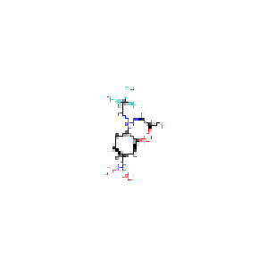 CC1CN(CC(F)(F)F)C2CC=C([N+](=O)[O-])C=C2O1